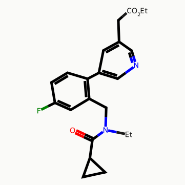 CCOC(=O)Cc1cncc(-c2ccc(F)cc2CN(CC)C(=O)C2CC2)c1